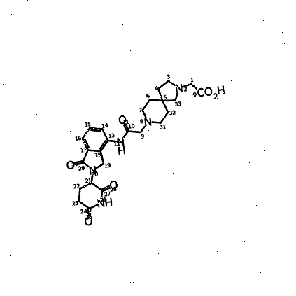 O=C(O)CN1CCC2(CCN(CC(=O)Nc3cccc4c3CN(C3CCC(=O)NC3=O)C4=O)CC2)C1